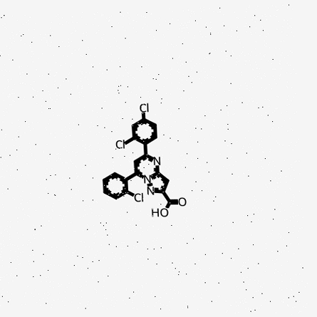 O=C(O)c1cc2nc(-c3ccc(Cl)cc3Cl)cc(-c3ccccc3Cl)n2n1